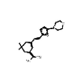 CC1(C)CC(/C=C/c2ccc(N3CCOCC3)s2)=CC(=C(C#N)C#N)C1